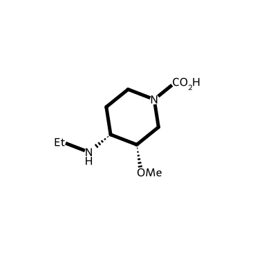 CCN[C@@H]1CCN(C(=O)O)C[C@@H]1OC